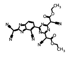 CCOC(=O)C(C#N)c1nc(-c2ccc3c(c2C#N)=NC(=C(C#N)C#N)N=3)nc(C(C#N)C(=O)OCC)n1